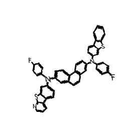 Fc1ccc(N(c2ccc3c(ccc4cc(N(c5ccc(F)cc5)c5ccc6c(c5)sc5ncccc56)ccc43)c2)c2ccc3c(c2)sc2ccccc23)cc1